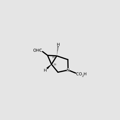 O=CC1[C@H]2CN(C(=O)O)C[C@H]12